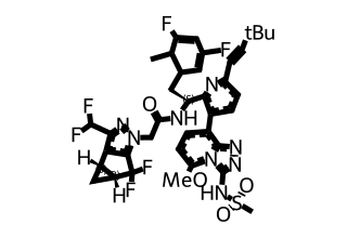 COc1ccc(-c2ccc(C#CC(C)(C)C)nc2[C@H](CC2C=C(F)C=C(F)C2C)NC(=O)Cn2nc(C(F)F)c3c2C(F)(F)[C@@H]2C[C@H]32)c2nnc(NS(C)(=O)=O)n12